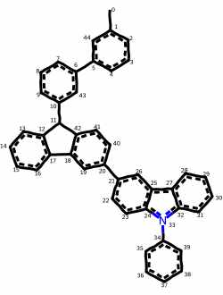 Cc1cccc(-c2cccc(C3c4ccccc4-c4cc(-c5ccc6c(c5)c5ccccc5n6-c5ccccc5)ccc43)c2)c1